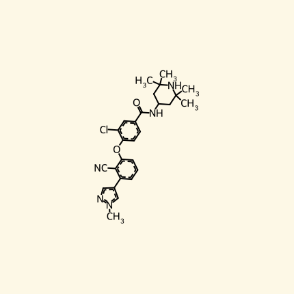 Cn1cc(-c2cccc(Oc3ccc(C(=O)NC4CC(C)(C)NC(C)(C)C4)cc3Cl)c2C#N)cn1